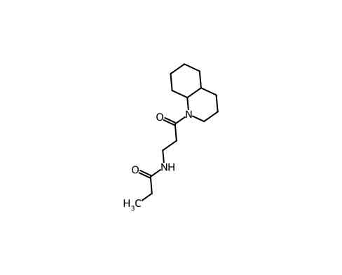 CCC(=O)NCCC(=O)N1CCCC2CCCCC21